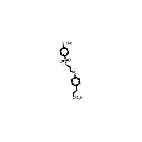 CC(=O)Nc1ccc(S(=O)(=O)NCCSc2ccc(CCC(=O)O)cc2)cc1